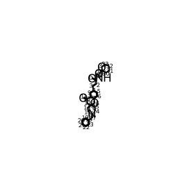 O=C(C=Cc1ccc2c(c1)C(=O)CC1(CCN(Cc3ccccc3)CC1)O2)NOC1CCCCO1